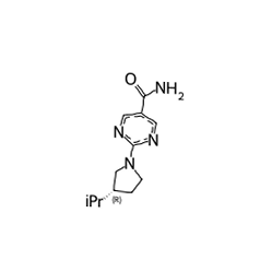 CC(C)[C@H]1CCN(c2ncc(C(N)=O)cn2)C1